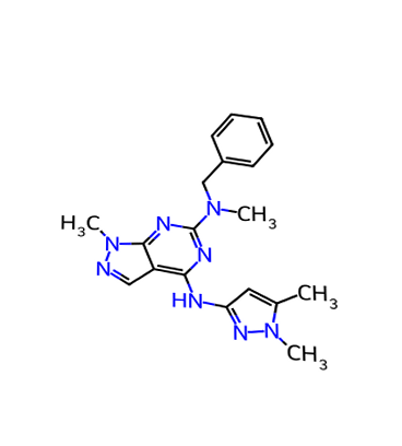 Cc1cc(Nc2nc(N(C)Cc3ccccc3)nc3c2cnn3C)nn1C